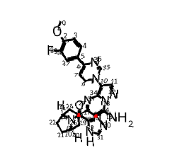 COc1ccc(C2=CCN(c3cnn4c(N)cc([C@H]5C[C@H]6CC[C@@H](C5)N6C(=O)c5nnc[nH]5)nc34)C=N2)cc1F